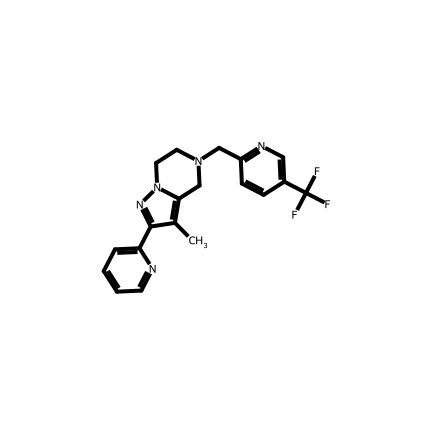 Cc1c(-c2ccccn2)nn2c1CN(Cc1ccc(C(F)(F)F)cn1)CC2